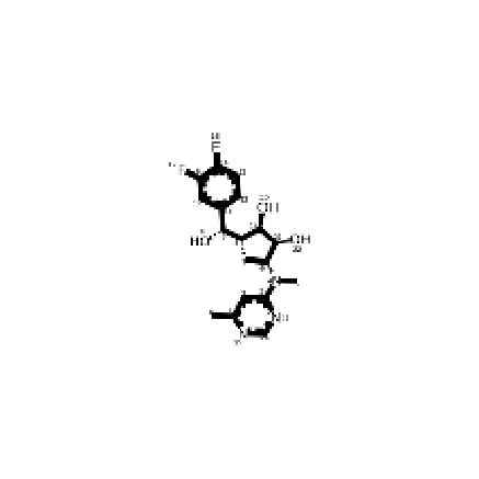 Cc1cc(N(C)[C@@H]2C[C@H]([C@H](O)c3ccc(F)c(F)c3)[C@@H](O)[C@H]2O)ncn1